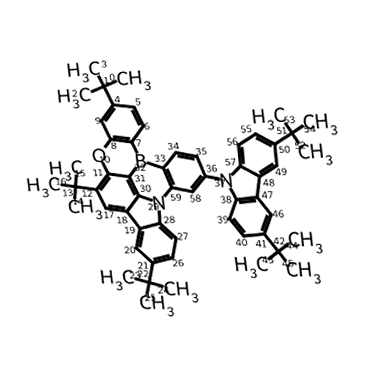 CC(C)(C)c1ccc2c(c1)Oc1c(C(C)(C)C)cc3c4cc(C(C)(C)C)ccc4n4c3c1B2c1ccc(-n2c3ccc(C(C)(C)C)cc3c3cc(C(C)(C)C)ccc32)cc1-4